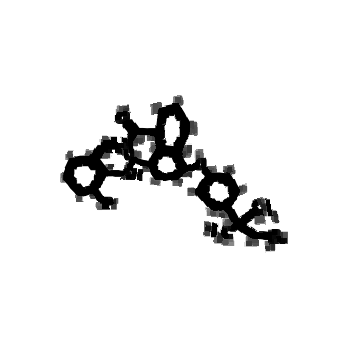 CC(C)c1cccc(C(C)C)c1NC(=O)c1ccc(Oc2ccc(C(C)(C)CC(C)(C)C)cc2)c2cccc(C(N)=O)c12